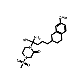 CCCC(N)(CCCC1CCc2ccc(OC)cc2C1)N1CCN(S(C)(=O)=O)CC1=O